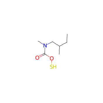 CCC(C)CN(C)C(=O)OS